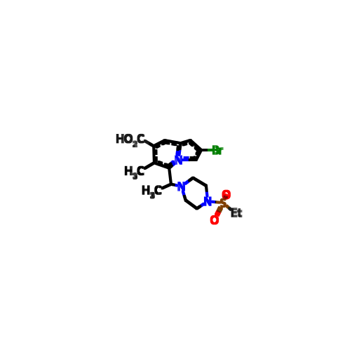 CCS(=O)(=O)N1CCN(C(C)c2c(C)c(C(=O)O)cc3cc(Br)cn23)CC1